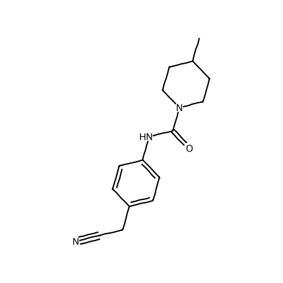 CC1CCN(C(=O)Nc2ccc(CC#N)cc2)CC1